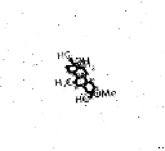 C#C[C@]1(O)CCC2C3C(CC[C@@]21C)C1=C(C[C@H]3C)CC(CO)(OC)CC1